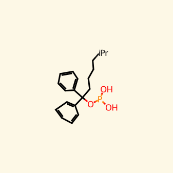 CC(C)CCCCC(OP(O)O)(c1ccccc1)c1ccccc1